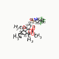 CCOC(=O)OC1=C(c2c(CC)cc(C)cc2CC)C(=O)CC(CC[S+]([O-])c2ccc(C(F)(F)F)cn2)C1